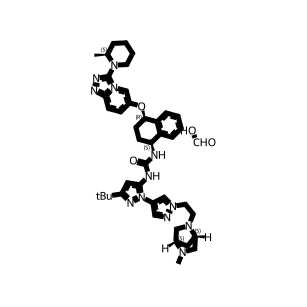 C[C@H]1CCCCN1c1nnc2ccc(O[C@@H]3CC[C@H](NC(=O)Nc4cc(C(C)(C)C)nn4-c4cnn(CCN5C[C@@H]6C[C@H]5CN6C)c4)c4ccccc43)cn12.O=CO